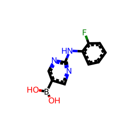 OB(O)c1cnc(Nc2ccccc2F)nc1